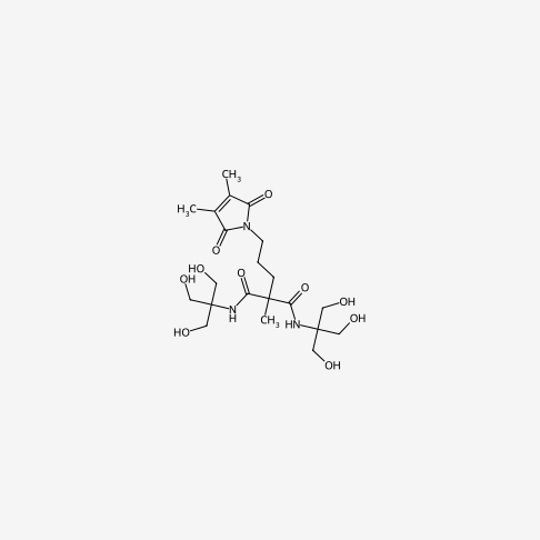 CC1=C(C)C(=O)N(CCCC(C)(C(=O)NC(CO)(CO)CO)C(=O)NC(CO)(CO)CO)C1=O